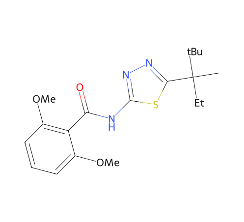 CCC(C)(c1nnc(NC(=O)c2c(OC)cccc2OC)s1)C(C)(C)C